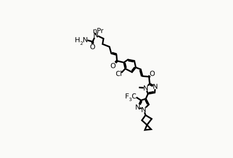 CCCN(CCC/C=C/C(=O)c1ccc(/C=C/C(=O)c2ncc(-c3cn(C4CC5(CC5)C4)nc3C(F)(F)F)n2C)cc1Cl)C(N)=O